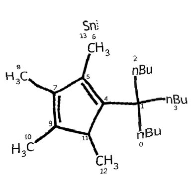 CCCCC(CCCC)(CCCC)C1=C(C)C(C)=C(C)C1C.[Sn]